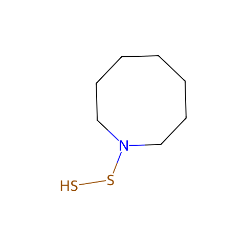 SSN1CCCCCCC1